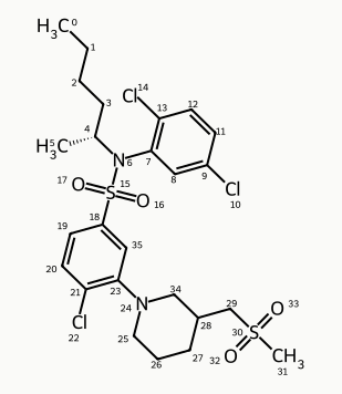 CCCC[C@@H](C)N(c1cc(Cl)ccc1Cl)S(=O)(=O)c1ccc(Cl)c(N2CCCC(CS(C)(=O)=O)C2)c1